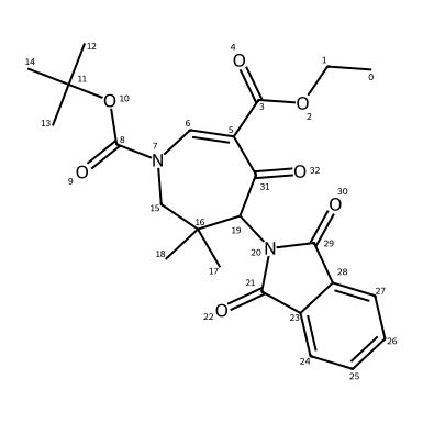 CCOC(=O)C1=CN(C(=O)OC(C)(C)C)CC(C)(C)C(N2C(=O)c3ccccc3C2=O)C1=O